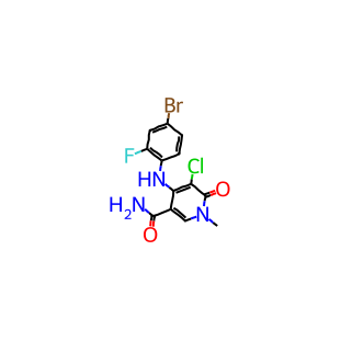 Cn1cc(C(N)=O)c(Nc2ccc(Br)cc2F)c(Cl)c1=O